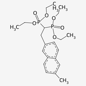 CCOP(=O)(OCC)C(Cc1ccc2cc(C)ccc2c1)P(=O)(OCC)OCC